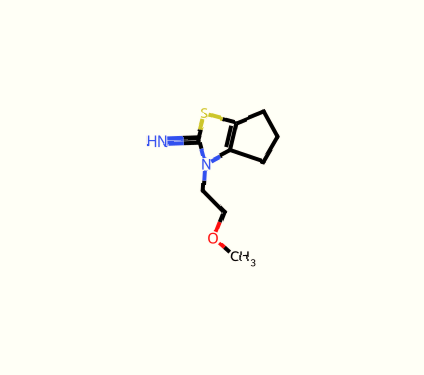 COCCn1c2c(sc1=N)CCC2